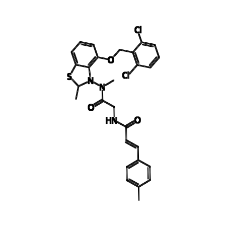 Cc1ccc(C=CC(=O)NCC(=O)N(C)N2c3c(OCc4c(Cl)cccc4Cl)cccc3SC2C)cc1